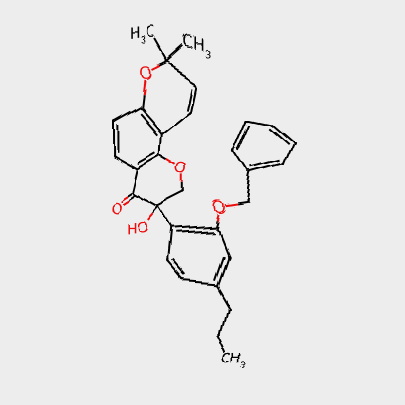 CCCc1ccc(C2(O)COc3c(ccc4c3C=CC(C)(C)O4)C2=O)c(OCc2ccccc2)c1